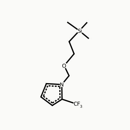 C[Si](C)(C)CCOCn1cccc1C(F)(F)F